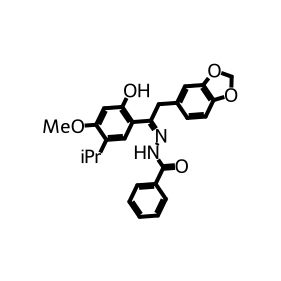 COc1cc(O)c(/C(Cc2ccc3c(c2)OCO3)=N\NC(=O)c2ccccc2)cc1C(C)C